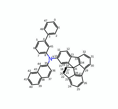 c1ccc(-c2cccc(N(c3ccc4c(c3)C35c6ccccc6-c6cccc(c63)-c3cccc-4c35)c3ccc4ccccc4c3)c2)cc1